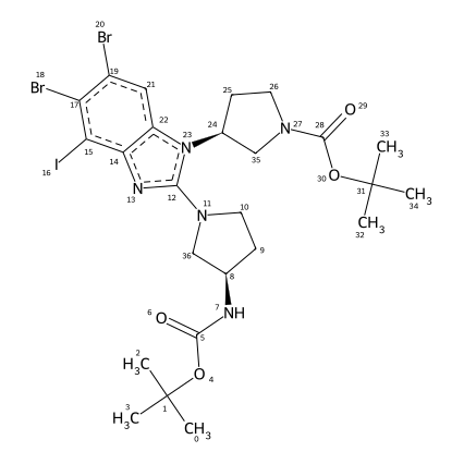 CC(C)(C)OC(=O)N[C@@H]1CCN(c2nc3c(I)c(Br)c(Br)cc3n2[C@H]2CCN(C(=O)OC(C)(C)C)C2)C1